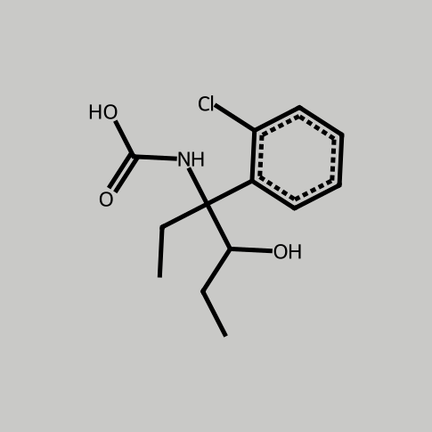 CCC(O)C(CC)(NC(=O)O)c1ccccc1Cl